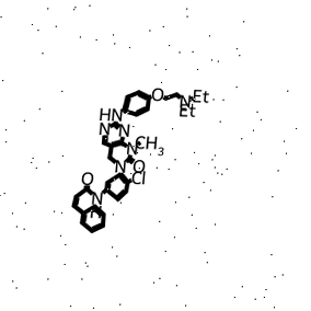 CCN(CC)CCOc1ccc(Nc2ncc3c(n2)N(C)C(=O)N(c2cc(NC(=O)/C=C\c4ccccc4)ccc2Cl)C3)cc1